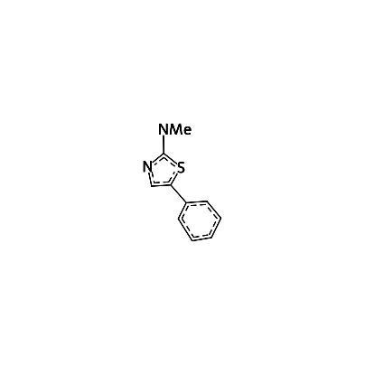 CNc1ncc(-c2ccccc2)s1